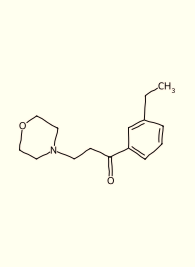 CCc1cccc(C(=O)CCN2CCOCC2)c1